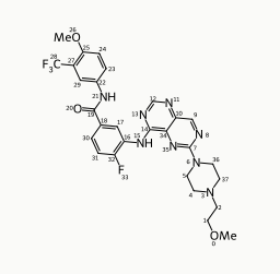 COCCN1CCN(c2ncc3ncnc(Nc4cc(C(=O)Nc5ccc(OC)c(C(F)(F)F)c5)ccc4F)c3n2)CC1